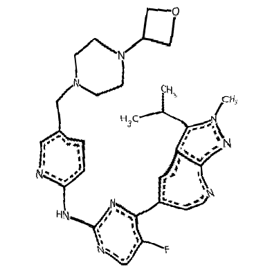 CC(C)c1c2cc(-c3nc(Nc4ccc(CN5CCN(C6COC6)CC5)cn4)ncc3F)cnc2nn1C